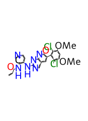 C=CC(=O)Nc1cnccc1Nc1ncc2cc(-c3c(Cl)c(OC)cc(OC)c3Cl)c(=O)n(C)c2n1